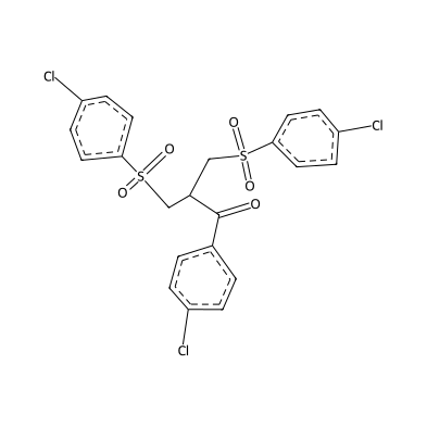 O=C(c1ccc(Cl)cc1)C(CS(=O)(=O)c1ccc(Cl)cc1)CS(=O)(=O)c1ccc(Cl)cc1